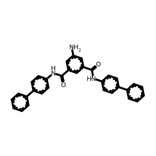 Nc1cc(C(=O)Nc2ccc(-c3ccccc3)cc2)cc(C(=O)Nc2ccc(-c3ccccc3)cc2)c1